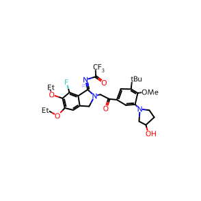 CCOc1cc2c(c(F)c1OCC)/C(=N/C(=O)C(F)(F)F)N(CC(=O)c1cc(N3CCC(O)C3)c(OC)c(C(C)(C)C)c1)C2